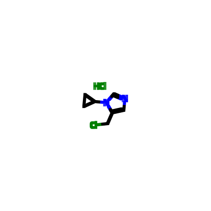 Cl.ClCc1cncn1C1CC1